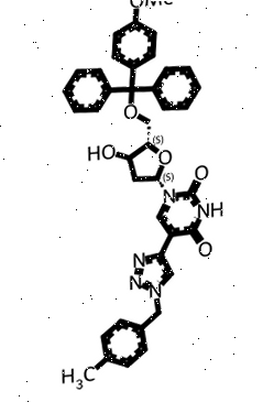 COc1ccc(C(OC[C@@H]2O[C@H](n3cc(-c4cn(Cc5ccc(C)cc5)nn4)c(=O)[nH]c3=O)CC2O)(c2ccccc2)c2ccccc2)cc1